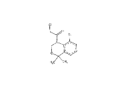 CCc1cccc2c1N(C(=O)CCl)COC2(C)C